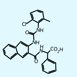 Cc1cccc(Cl)c1NC(=O)Nc1cc2ccccc2cc1C(=O)NC(C(=O)O)c1ccccc1